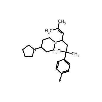 CC(C)=CC(CC(C)(C)c1ccc(F)cc1)N1CCC(N2CCCC2)CC1